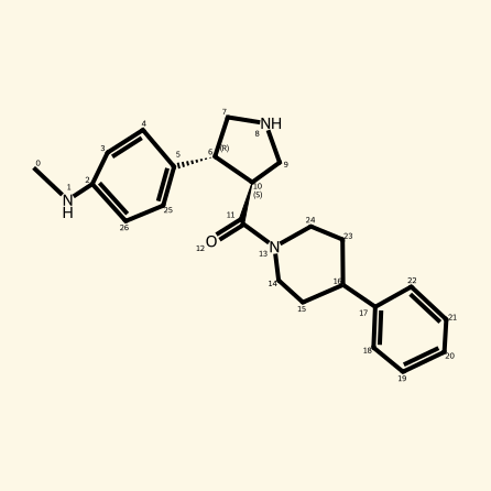 CNc1ccc([C@@H]2CNC[C@H]2C(=O)N2CCC(c3ccccc3)CC2)cc1